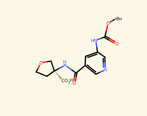 CC(C)(C)OC(=O)Nc1cncc(C(=O)N[C@@]2(C(=O)O)CCOC2)c1